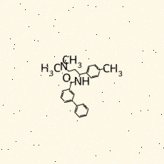 Cc1ccc(C(CCN(C)C)NC(=O)c2cccc(-c3ccccc3)c2)cc1